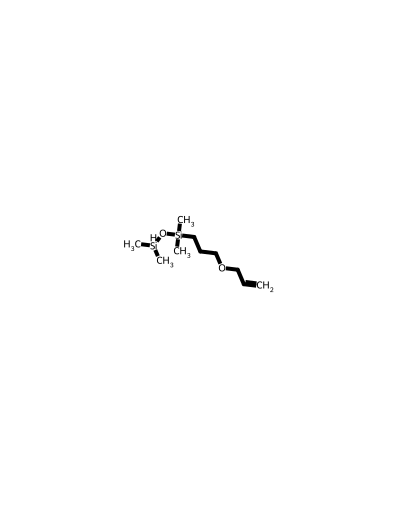 C=CCOCCC[Si](C)(C)O[SiH](C)C